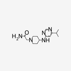 CC(C)c1cc(NC2CCN(CC(N)=O)CC2)ncn1